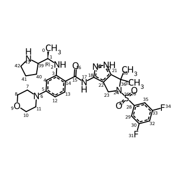 C[C@@H](Nc1cc(N2CCOCC2)ccc1C(=O)Nc1n[nH]c2c1CN(S(=O)(=O)c1cc(F)cc(F)c1)C2(C)C)C1CCCN1